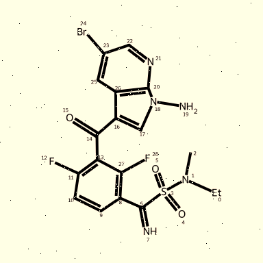 CCN(C)S(=O)(=O)C(=N)c1ccc(F)c(C(=O)c2cn(N)c3ncc(Br)cc23)c1F